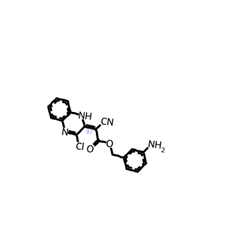 N#C/C(C(=O)OCc1cccc(N)c1)=C1\Nc2ccccc2N=C1Cl